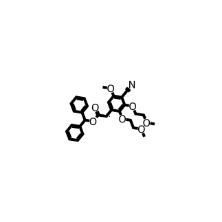 COCCOc1c([CH]C(=O)OC(c2ccccc2)c2ccccc2)cc(OC)c(C#N)c1OCCOC